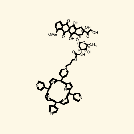 COc1cccc2c1C(=O)c1c(O)c3c(c(O)c1C2=O)C[C@@](O)(C(=O)CO)C[C@@H]3O[C@H]1C[C@H](NC(=O)OCCC[n+]2ccc(C3=C4C=CC(=N4)C(c4ccncc4)=C4C=CC(=N4)C(c4ccncc4)=C4C=CC(=N4)C(c4ccncc4)=C4C=CC3=N4)cc2)[C@H](O)[C@H](C)O1